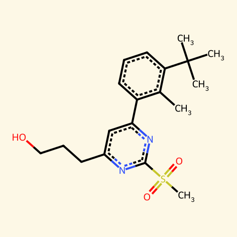 Cc1c(-c2cc(CCCO)nc(S(C)(=O)=O)n2)cccc1C(C)(C)C